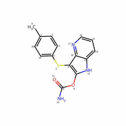 Cc1ccc(Sc2c(OC(N)=O)[nH]c3cccnc23)cc1